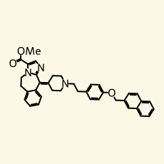 COC(=O)c1cnc2n1CCc1ccccc1C2=C1CCN(CCc2ccc(OCc3ccc4ccccc4c3)cc2)CC1